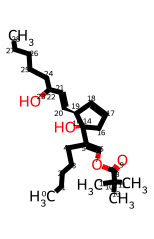 CCCCCC(=COC(=O)C(C)(C)C)[C@@]1(O)CC=C[C@@H]1C=CC(O)CCCCC